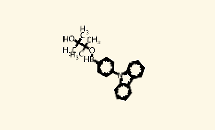 CC(C)(O)C(C)(C)OBc1ccc(-n2c3ccccc3c3ccccc32)cc1